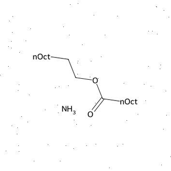 CCCCCCCCCCOC(=O)CCCCCCCC.N